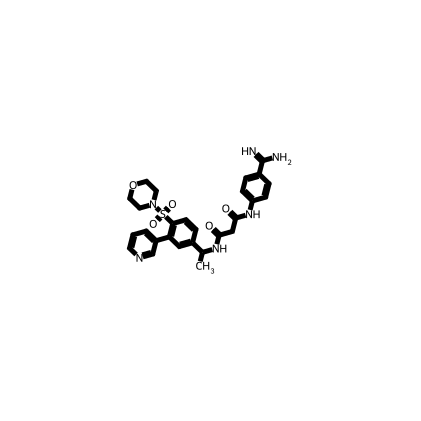 CC(NC(=O)CC(=O)Nc1ccc(C(=N)N)cc1)c1ccc(S(=O)(=O)N2CCOCC2)c(-c2cccnc2)c1